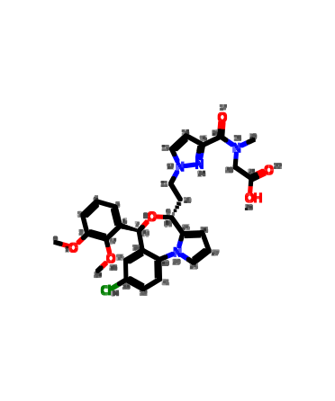 COc1cccc([C@H]2O[C@H](CCn3ccc(C(=O)N(C)CC(=O)O)n3)c3cccn3-c3ccc(Cl)cc32)c1OC